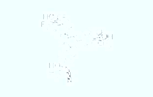 CC(O)(N=[N+]=[N-])C1CCC(C2CC(C3CCC(C(C)(O)C(F)(F)F)CC3)CC(C3CCC(C(O)(C(F)(F)F)C(F)(F)F)CC3)C2)CC1